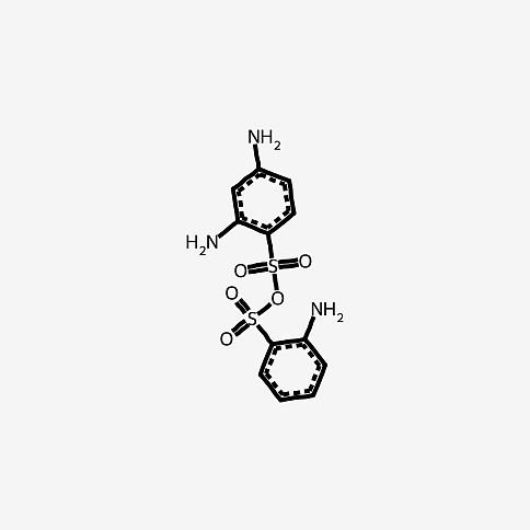 Nc1ccc(S(=O)(=O)OS(=O)(=O)c2ccccc2N)c(N)c1